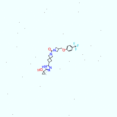 O=C(N1CC(COc2ccc(C(F)(F)F)cc2)C1)N1CC2(CC(c3nnc(C4(O)CC4)[nH]3)C2)C1